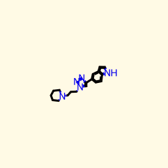 c1cc2cc(-c3cn(CCCN4CCCCC4)nn3)ccc2[nH]1